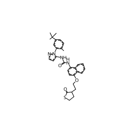 Cc1ccc(C(C)(C)C)cc1-n1nccc1NC(=O)Nc1ccc(OCCC2CCSC2=O)c2ccccc12